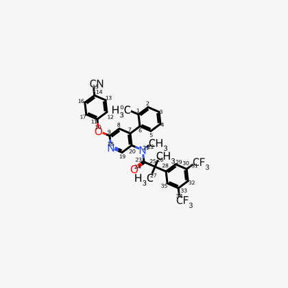 Cc1ccccc1-c1cc(Oc2ccc(C#N)cc2)ncc1N(C)C(=O)C(C)(C)c1cc(C(F)(F)F)cc(C(F)(F)F)c1